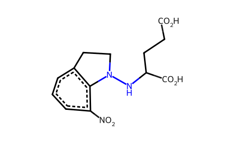 O=C(O)CCC(NN1CCc2cccc([N+](=O)[O-])c21)C(=O)O